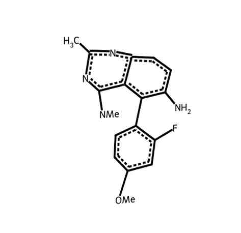 CNc1nc(C)nc2ccc(N)c(-c3ccc(OC)cc3F)c12